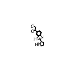 O=C(CCl)c1ccc2nc(C3CCCN3)[nH]c2c1